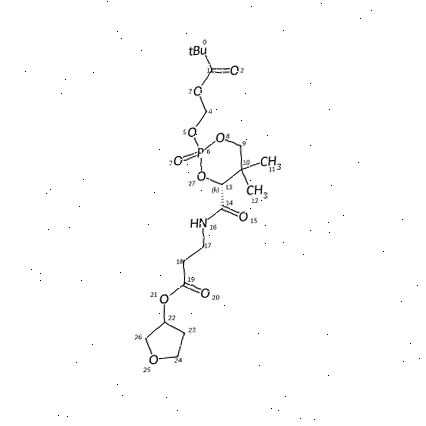 CC(C)(C)C(=O)OCOP1(=O)OCC(C)(C)[C@H](C(=O)NCCC(=O)OC2CCOC2)O1